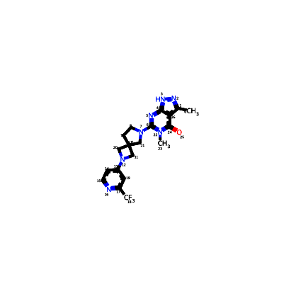 Cc1n[nH]c2nc(N3CCC4(CN(c5ccnc(C(F)(F)F)c5)C4)C3)n(C)c(=O)c12